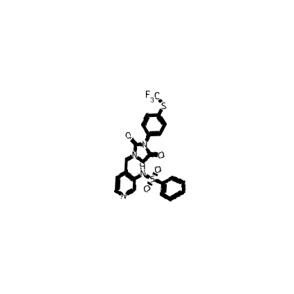 O=C1CN(Cc2ccncc2NS(=O)(=O)c2ccccc2)C(=O)N1c1ccc(SC(F)(F)F)cc1